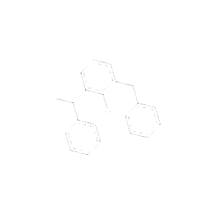 CC(c1ccccc1)c1cccc(C(C)c2ccccc2)c1[O]